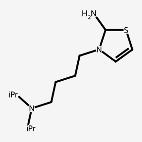 CC(C)N(CCCCN1C=CSC1N)C(C)C